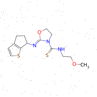 COCCNC(=S)N1CCOC1=NC1CCc2ccsc21